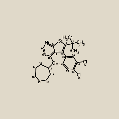 CC(C)(C)c1sc2ncnc(OC3CCCCCC3)c2c1-c1ccc(Cl)c(Cl)c1